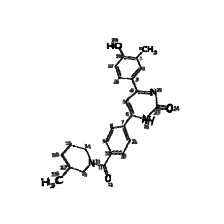 Cc1cc(-c2cc(-c3ccc(C(=O)N4CCCC(C)C4)cc3)[nH]c(=O)n2)ccc1O